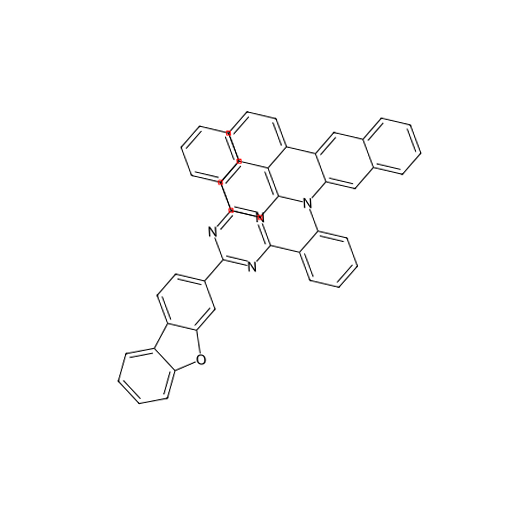 c1ccc(-c2nc(-c3ccc4c(c3)oc3ccccc34)nc(-c3ccccc3N3c4cc5ccccc5cc4-c4cccc5cccc3c45)n2)cc1